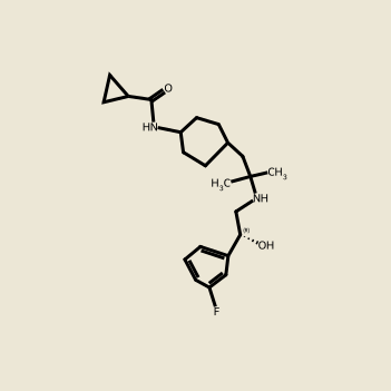 CC(C)(CC1CCC(NC(=O)C2CC2)CC1)NC[C@H](O)c1cccc(F)c1